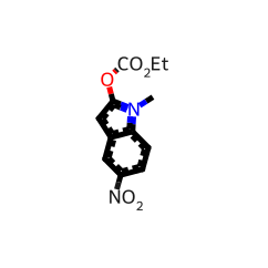 CCOC(=O)Oc1cc2cc([N+](=O)[O-])ccc2n1C